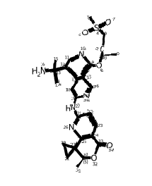 C[C@H](CCS(C)(=O)=O)Oc1ncc(C(C)(C)N)c2cc(Nc3ccc4c(n3)C3(CC3)[C@H](C)OC4=O)ncc12